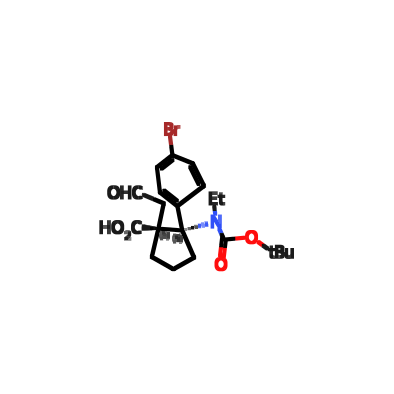 CCN(C(=O)OC(C)(C)C)[C@]1(c2ccc(Br)cc2)CCC[C@@]1(CC=O)C(=O)O